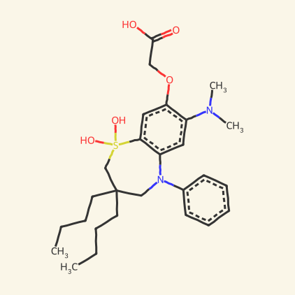 CCCCC1(CCCC)CN(c2ccccc2)c2cc(N(C)C)c(OCC(=O)O)cc2S(O)(O)C1